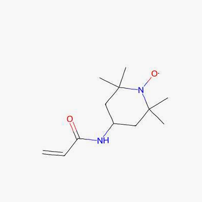 C=CC(=O)NC1CC(C)(C)N([O])C(C)(C)C1